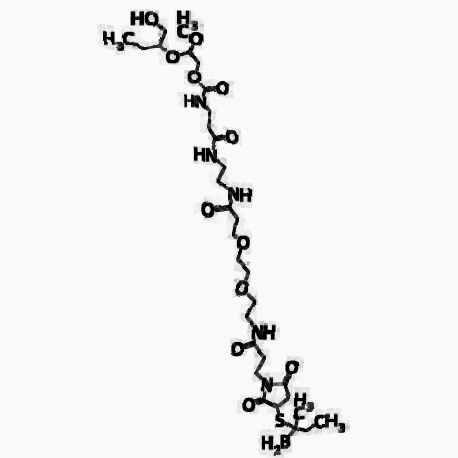 BC(C)(CC)SC1CC(=O)N(CCC(=O)NCCOCCOCCC(=O)NCCNC(=O)CCNC(=O)OCC(OC)OC(CC)CO)C1=O